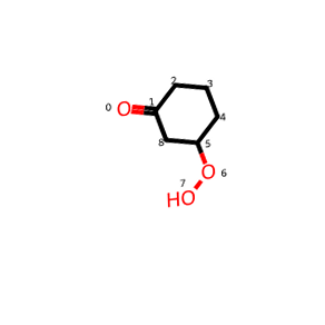 O=C1CCCC(OO)C1